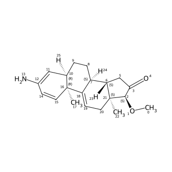 CO[C@@H]1C(=O)C[C@H]2[C@@H]3CC[C@@H]4C=C(N)C=C[C@]4(C)C3=CC[C@]12C